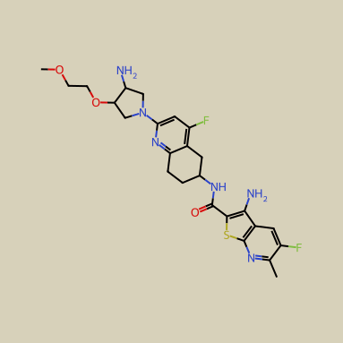 COCCOC1CN(c2cc(F)c3c(n2)CCC(NC(=O)c2sc4nc(C)c(F)cc4c2N)C3)CC1N